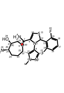 Cn1ncc(N2C(C(N)=O)=CSC2c2c(F)cccc2F)c1[C@@H]1CC[C@@H](N)[C@@H](O)CO1